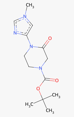 Cn1cnc(N2CCN(C(=O)OC(C)(C)C)CC2=O)c1